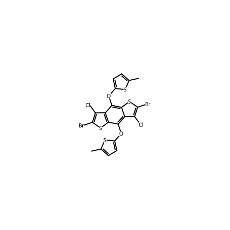 Cc1ccc(Oc2c3sc(Br)c(Cl)c3c(Oc3ccc(C)s3)c3sc(Br)c(Cl)c23)s1